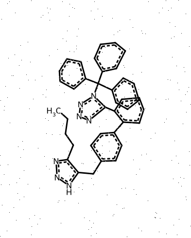 CCCCc1nn[nH]c1Cc1ccc(-c2ccccc2-c2nnnn2C(c2ccccc2)(c2ccccc2)c2ccccc2)cc1